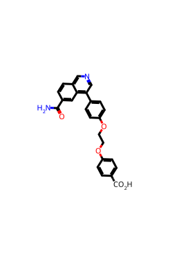 NC(=O)c1ccc2cncc(-c3ccc(OCCOc4ccc(C(=O)O)cc4)cc3)c2c1